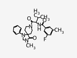 Cc1cc(F)cc(C(=O)NC(C(=O)N2CCC3(CC2)C(=O)N(C)CN3c2ccccc2)C(C)C)c1